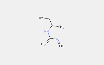 C=NC(=C)NC(C)CC(C)C